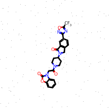 O=C(Cn1c(=O)oc2ccccc21)N1CCC(N2Cc3ccc(-c4noc(C(F)(F)F)n4)cc3C2=O)CC1